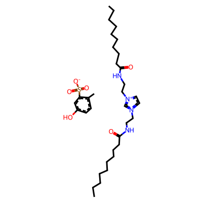 CCCCCCCCCC(=O)NCCn1cc[n+](CCNC(=O)CCCCCCCCC)c1.Cc1ccc(O)cc1S(=O)(=O)[O-]